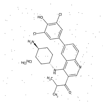 CC(C)C(=O)c1cnc2ccc(-c3cc(Cl)c(O)c(Cl)c3)cc2c1N[C@H]1CC[C@H](N)CC1.Cl.Cl